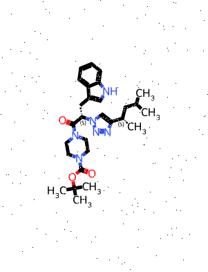 CC(C)C[C@H](C)c1cn([C@@H](Cc2c[nH]c3ccccc23)C(=O)N2CCN(C(=O)OC(C)(C)C)CC2)nn1